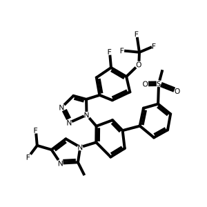 Cc1nc(C(F)F)cn1-c1ccc(-c2cccc(S(C)(=O)=O)c2)cc1-n1nncc1-c1ccc(OC(F)(F)F)c(F)c1